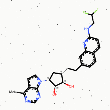 CNc1ncnc2c1ccn2[C@@H]1C[C@H](CCc2ccc3ccc(NCC(F)F)nc3c2)[C@@H](O)[C@H]1O